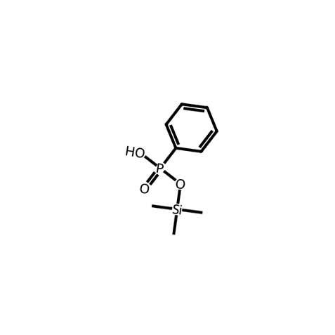 C[Si](C)(C)OP(=O)(O)c1ccccc1